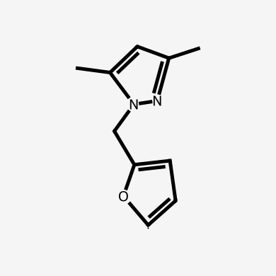 Cc1cc(C)n(Cc2cc[c]o2)n1